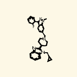 Cn1nc(-c2ccccc2F)c2ccc(CN3CCC(c4nc5ccccc5n4CC4CC4)CC3)cc21